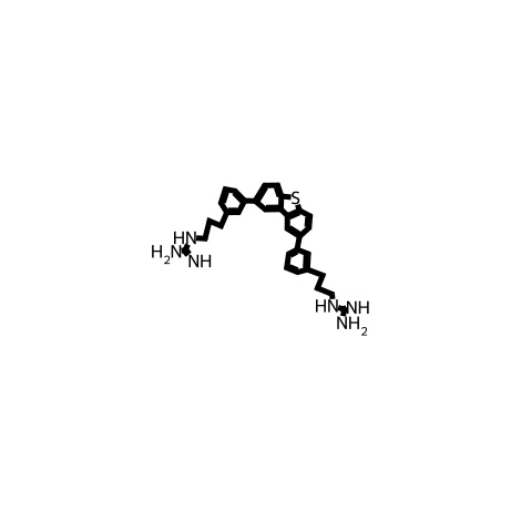 N=C(N)NCCCc1cccc(-c2ccc3sc4ccc(-c5cccc(CCCNC(=N)N)c5)cc4c3c2)c1